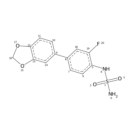 NS(=O)(=O)Nc1ccc(-c2ccc3c(c2)OCO3)cc1F